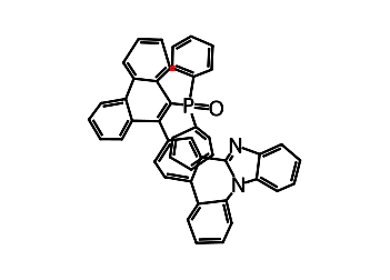 O=P(c1ccccc1)(c1ccccc1)c1c(-c2ccc3c4ccccc4n4c5ccccc5nc4c3c2)c2ccccc2c2ccccc12